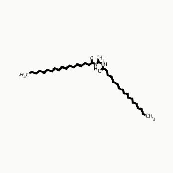 CCCCCCCCCCCCCCCCCC(=O)N[C](C)NC(=O)CCCCCCCCCCCCCCCCC